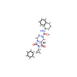 O=C(NC1CCCc2ccccc21)N1CCN2C(=O)N([C@H]3C[C@@H]3c3ccccc3)C(=O)[C@@H]2C1